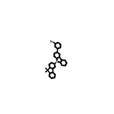 CC1(C)c2ccccc2-c2cc(-n3c4ccccc4c4cc(-c5cccc(Br)c5)ccc43)ccc21